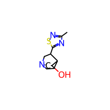 Cc1nsc(C2CN3CCC2C(O)C3)n1